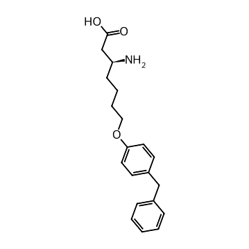 N[C@@H](CCCCOc1ccc(Cc2ccccc2)cc1)CC(=O)O